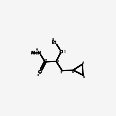 CCOC(CC1CC1)C(=O)NC